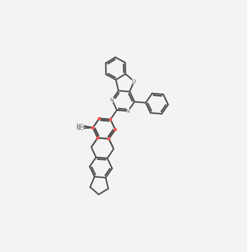 N#Cc1cccc2c1C1c3cc4c(cc3C2c2cc(-c3nc(-c5ccccc5)c5oc6ccccc6c5n3)cc(C#N)c21)CCC4